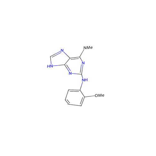 CNc1nc(Nc2cc[c]cc2OC)nc2[nH]cnc12